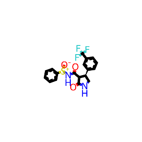 O=C1NC[C@H](c2cccc(C(F)(F)F)c2)C1C(=O)N[S+]([O-])c1ccccc1